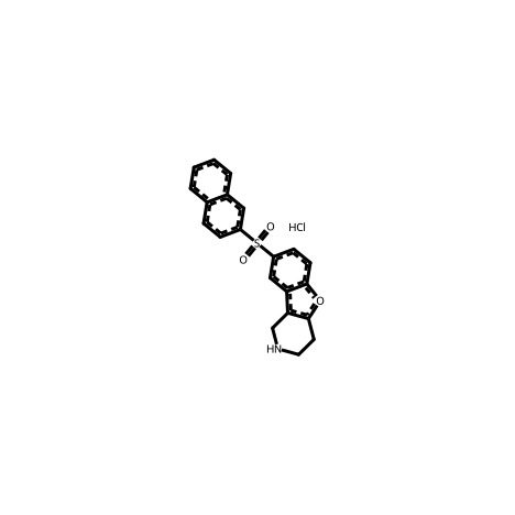 Cl.O=S(=O)(c1ccc2ccccc2c1)c1ccc2oc3c(c2c1)CNCC3